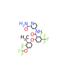 CCc1c(Oc2ccc(C(F)(F)F)c(F)c2C(=O)Nc2ccnc(C(N)=O)c2)ccc(OC(F)(F)F)c1F